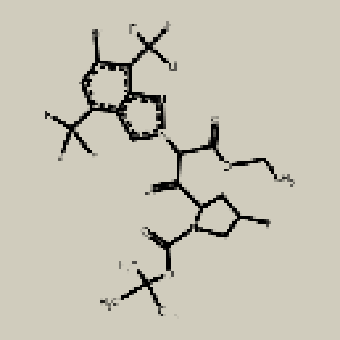 CCOC(=O)C(C(=O)C1CC(F)CN1C(=O)OC(C)(C)C)n1cc2c(C(F)(F)F)cc(Br)c(C(F)(F)Cl)c2n1